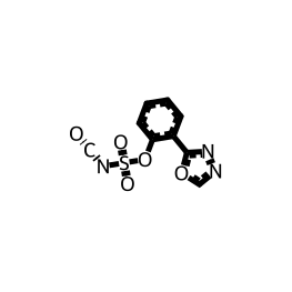 O=C=NS(=O)(=O)Oc1ccccc1-c1nnco1